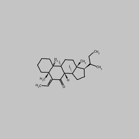 C/C=C1/C(=O)[C@@H]2[C@](I)(CC[C@]3(C)[C@@H](C(C)CC)CC[C@@]23I)[C@@]2(C)CCCC[C@@]12C